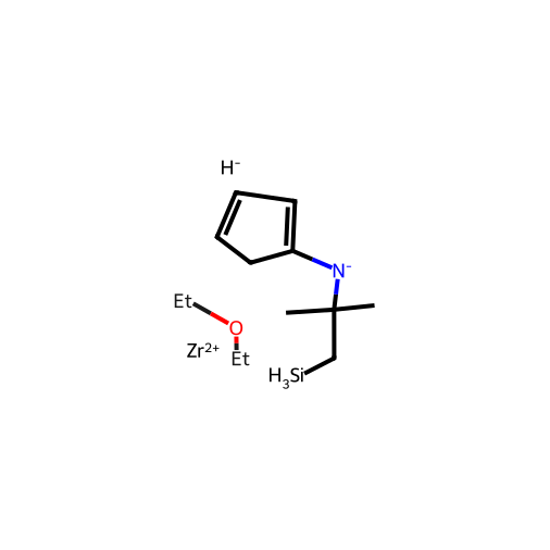 CC(C)(C[SiH3])[N-]C1=CC=CC1.CCOCC.[H-].[Zr+2]